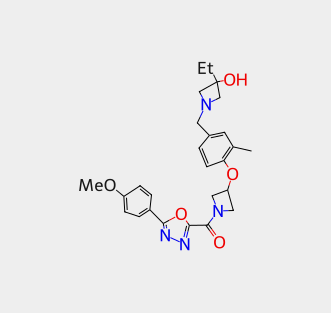 CCC1(O)CN(Cc2ccc(OC3CN(C(=O)c4nnc(-c5ccc(OC)cc5)o4)C3)c(C)c2)C1